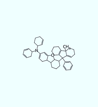 CC12CCCC=C1C(c1ccccc1)(C1CCCC3C4CC=C(N(C5C=CC=CC5)C5C=CCCC5)C=C4OC31)C1=C2CCCC1